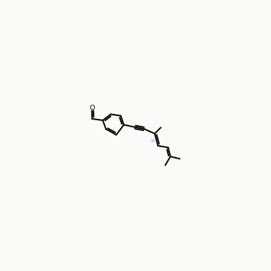 CC(C)=C/C=C(\C)C#Cc1ccc(C=O)cc1